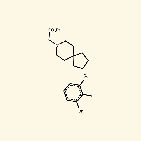 CCOC(=O)CN1CCC2(CC[C@H](Oc3cccc(Br)c3C)C2)CC1